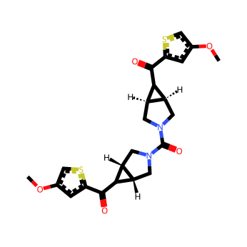 COc1csc(C(=O)C2[C@H]3CN(C(=O)N4C[C@@H]5C(C(=O)c6cc(OC)cs6)[C@@H]5C4)C[C@@H]23)c1